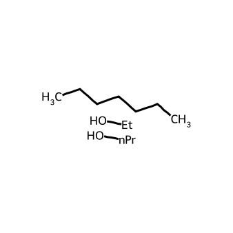 CCCCCCC.CCCO.CCO